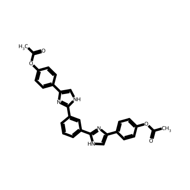 CC(=O)Oc1ccc(-c2c[nH]c(-c3cccc(-c4nc(-c5ccc(OC(C)=O)cc5)c[nH]4)c3)n2)cc1